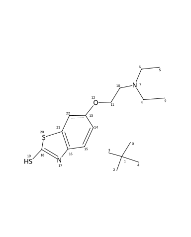 CC(C)(C)C.CCN(CC)CCOc1ccc2nc(S)sc2c1